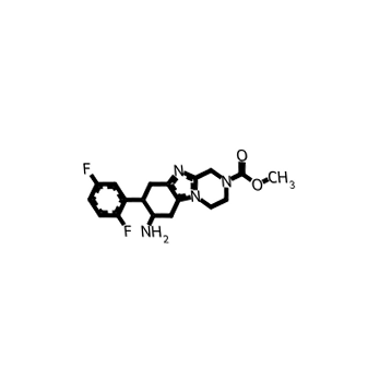 COC(=O)N1CCn2c(nc3c2CC(N)C(c2cc(F)ccc2F)C3)C1